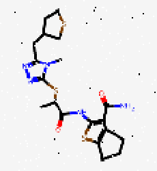 CC(Sc1nnc(CC2CCSC2)n1C)C(=O)Nc1sc2c(c1C(N)=O)CCC2